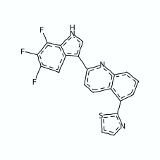 Fc1cc2c(-c3ccc4c(-c5nccs5)cccc4n3)c[nH]c2c(F)c1F